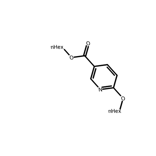 CCCCCCOC(=O)c1ccc(OCCCCCC)nc1